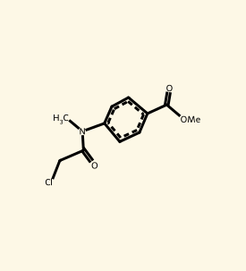 COC(=O)c1ccc(N(C)C(=O)CCl)cc1